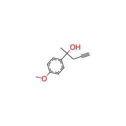 C#CCC(C)(O)c1ccc(OC)cc1